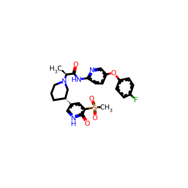 C[C@@H](C(=O)Nc1ccc(Oc2ccc(F)cc2)cn1)N1CCC[C@@H](c2c[nH]c(=O)c(S(C)(=O)=O)c2)C1